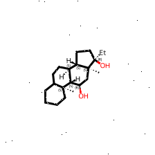 CC[C@@]1(O)CC[C@H]2[C@@H]3CCC4CCCC[C@]4(C)[C@H]3[C@H](O)C[C@@]21C